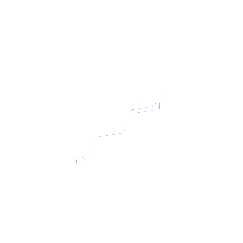 CCCCC/C=N/I